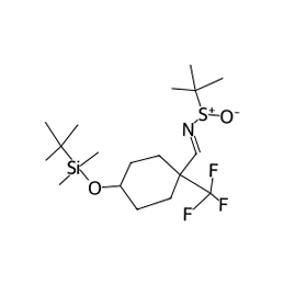 CC(C)(C)[S+]([O-])/N=C/C1(C(F)(F)F)CCC(O[Si](C)(C)C(C)(C)C)CC1